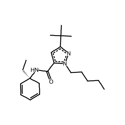 CCCCCn1nc(C(C)(C)C)cc1C(=O)N[C@]1(CC)C=CC=CC1